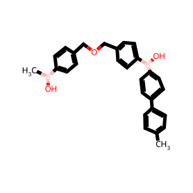 CB(O)c1ccc(COCc2ccc(B(O)c3ccc(-c4ccc(C)cc4)cc3)cc2)cc1